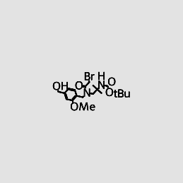 COc1cc(CO)ccc1CN(CC(C)(C)NC(=O)OC(C)(C)C)C(=O)CBr